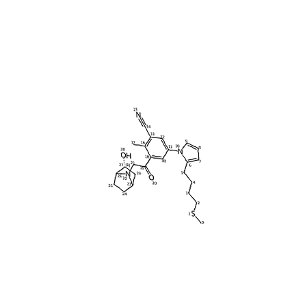 CSCCCCc1cccn1-c1cc(C#N)c(C)c(C(=O)CN2C3CCC2[C@H](O)C3)c1